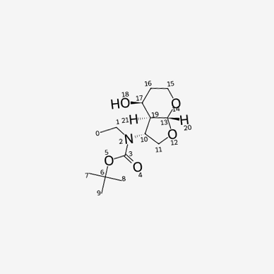 CCN(C(=O)OC(C)(C)C)[C@H]1CO[C@H]2OCC[C@H](O)[C@@H]21